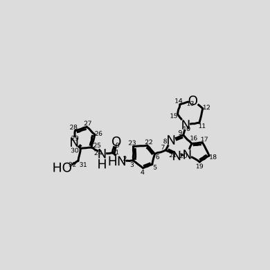 O=C(Nc1ccc(-c2nc(N3CCOCC3)c3cccn3n2)cc1)Nc1cccnc1CO